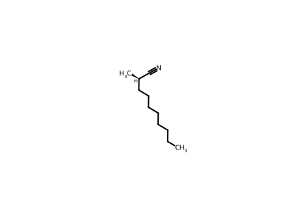 CCCCCCCC[C@@H](C)C#N